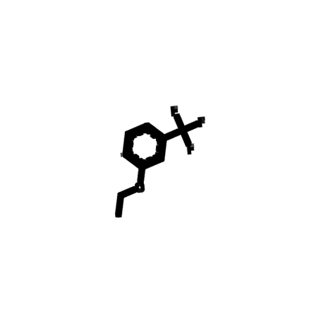 CCOc1[c]ccc(C(F)(F)F)c1